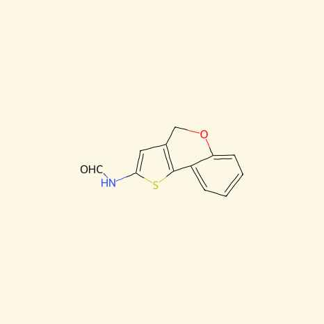 O=CNc1cc2c(s1)-c1ccccc1OC2